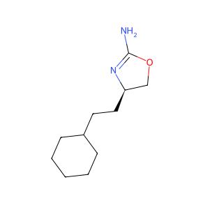 NC1=N[C@H](CCC2CCCCC2)CO1